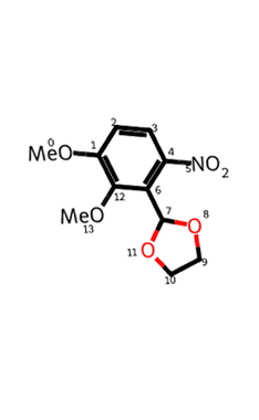 COc1ccc([N+](=O)[O-])c(C2OCCO2)c1OC